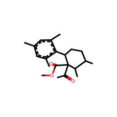 COC(=O)C1(C(C)=O)C(c2c(C)cc(C)cc2C)CCC(C)C1C